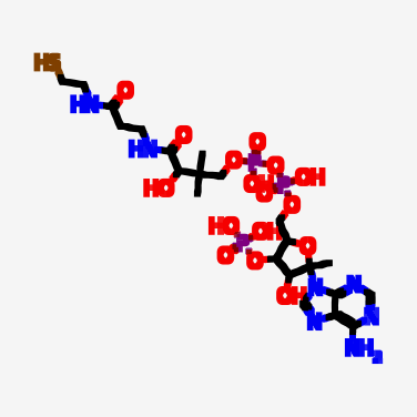 CC(C)(COP(=O)(O)OP(=O)(O)OCC1OC(C)(n2cnc3c(N)ncnc32)C(O)C1OP(=O)(O)O)C(O)C(=O)NCCC(=O)NCCS